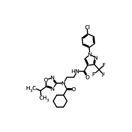 CC(C)c1nc(N(CCNC(=O)c2cn(-c3ccc(Cl)cc3)nc2C(F)(F)F)C(=O)C2CCCCC2)no1